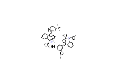 CCOc1cccc(Oc2ccccc2/C(=C\OC)C(=O)OC)c1.CO/C(C)=C(/C(=O)O)c1ccccc1Oc1cc(C(C)(C)C)ccn1